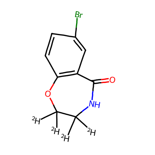 [2H]C1([2H])NC(=O)c2cc(Br)ccc2OC1([2H])[2H]